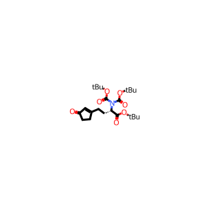 CC(C)(C)OC(=O)[C@H](CCC1=CC(=O)CC1)N(C(=O)OC(C)(C)C)C(=O)OC(C)(C)C